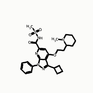 CN1CCCCC1CCOc1cc(C(=O)NS(C)(=O)=O)nc2c1c(C1CCC1)nn2-c1ccccc1